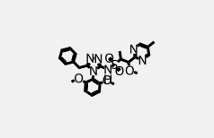 COc1cccc(OC)c1-n1c(Cc2ccccc2)nnc1NS(=O)(=O)C(C)C(OC)c1ncc(C)cn1